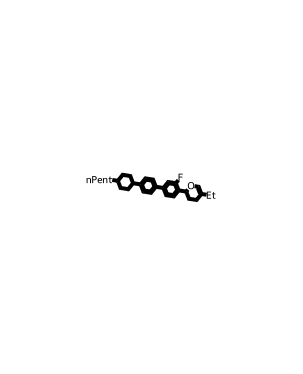 CCCCCC1CCC(c2ccc(-c3ccc(C4CCC(CC)=CO4)c(F)c3)cc2)CC1